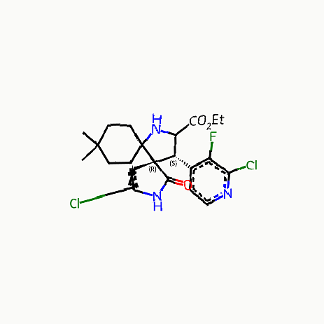 CCOC(=O)C1NC2(CCC(C)(C)CC2)[C@@]2(C(=O)Nc3cc(Cl)ccc32)[C@H]1c1ccnc(Cl)c1F